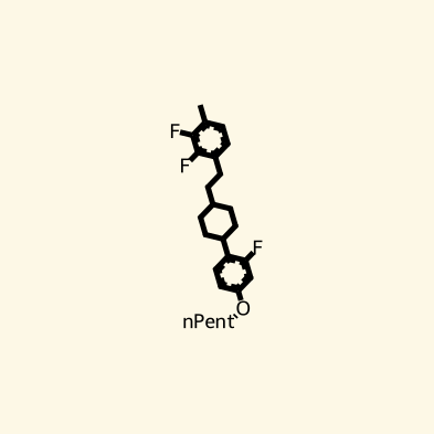 CCCCCOc1ccc(C2CCC(CCc3ccc(C)c(F)c3F)CC2)c(F)c1